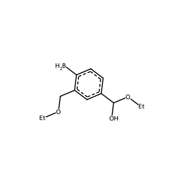 Bc1ccc(C(O)OCC)cc1COCC